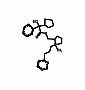 C[N+]1(CCCc2ccncn2)CCCC1COC(=O)C(O)(c1ccccc1)C1CCCC1